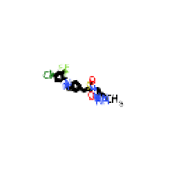 CN/C=C(/CN1C(=O)S/C(=C\c2ccc3c(cnn3Cc3ccc(Cl)cc3C(F)(F)F)c2)C1=O)N=N